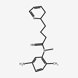 Cc1ccc(N)cc1N(I)C(=N)CCCC1CC=CC=N1